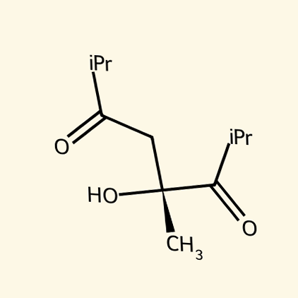 CC(C)C(=O)C[C@@](C)(O)C(=O)C(C)C